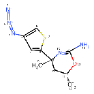 C[C@@]1(c2cc(N=[N+]=[N-])cs2)C[C@@H](C(F)(F)F)OC(N)=N1